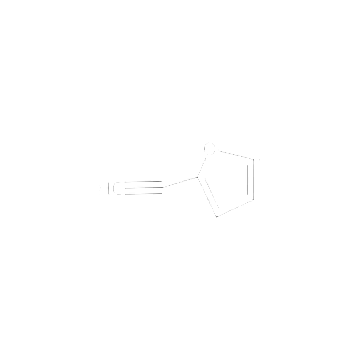 C#Cc1cc[c]o1